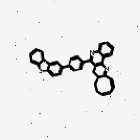 C1=C\CCC2Cc3c(-c4ccc(-c5ccc6sc7ccccc7c6c5)cc4)nc4ccccc4c3N=C2\C=C/1